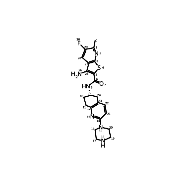 Cc1nc2sc(C(=O)N[C@H]3CCc4nc(N5CCNCC5)ccc4C3)c(N)c2cc1F